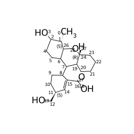 C[C@H]1C(O)CCC2C(C3CC[C@H](CO)C=C3C(=O)O)C3CCCC[C@H]3OC21